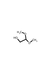 COC(CO)OC